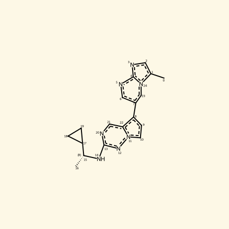 Cc1cnc2ncc(-c3ccn4nc(N[C@H](C)C5CC5)ncc34)cn12